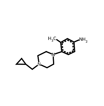 Cc1cc(N)ccc1N1CCN(CC2CC2)CC1